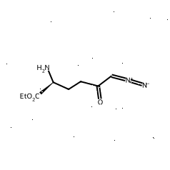 CCOC(=O)[C@@H](N)CCC(=O)C=[N+]=[N-]